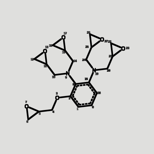 c1cc(OCC2CO2)c(N(CC2CO2)CC2CO2)c(N(CC2CO2)CC2CO2)c1